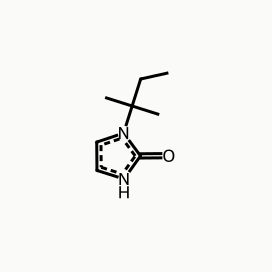 CCC(C)(C)n1cc[nH]c1=O